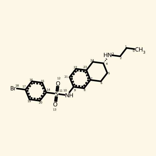 CCCN[C@@H]1CCc2cc(NS(=O)(=O)c3ccc(Br)cc3)ccc2C1